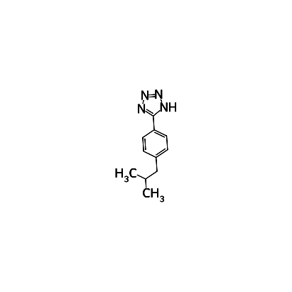 CC(C)Cc1ccc(-c2nnn[nH]2)cc1